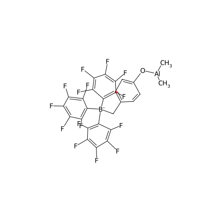 [CH3][Al]([CH3])[O]c1ccc(C[B-](c2c(F)c(F)c(F)c(F)c2F)(c2c(F)c(F)c(F)c(F)c2F)c2c(F)c(F)c(F)c(F)c2F)cc1